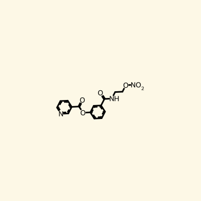 O=C(NCCO[N+](=O)[O-])c1cccc(OC(=O)c2cccnc2)c1